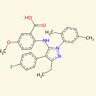 CCc1nn(-c2cc(C)ccc2C)c(Nc2ccc(OC)cc2C(=O)O)c1-c1ccc(F)cc1